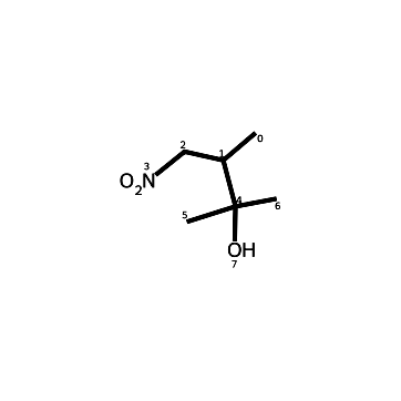 CC(C[N+](=O)[O-])C(C)(C)O